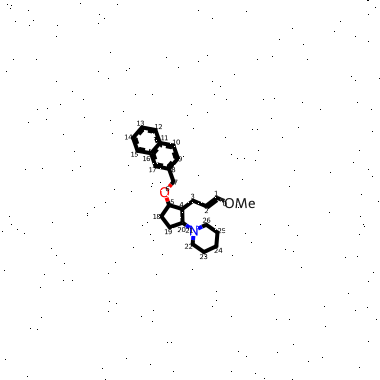 COC=CCC1C(OCc2ccc3ccccc3c2)CCC1N1CCCCC1